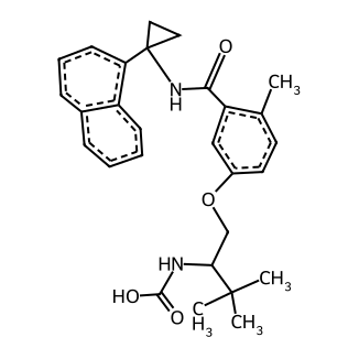 Cc1ccc(OCC(NC(=O)O)C(C)(C)C)cc1C(=O)NC1(c2cccc3ccccc23)CC1